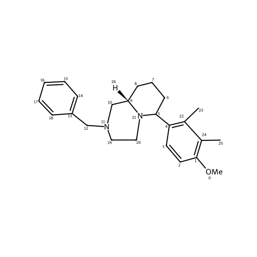 COc1ccc(C2CCC[C@H]3CN(Cc4ccccc4)CCN23)c(C)c1C